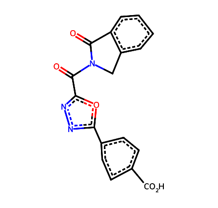 O=C(O)c1ccc(-c2nnc(C(=O)N3Cc4ccccc4C3=O)o2)cc1